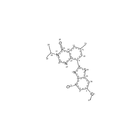 COc1cc(Cl)c2nc(-c3cc(C)cc4c(=O)n(C(C)C)cnc34)sc2c1